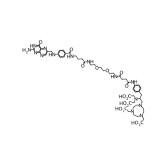 Nc1nc2ncc(CNc3ccc(C(=O)NCCCC(=O)NCCOCCOCCNC(=O)CCC(=O)Nc4ccc(CC(CN5CCN(CC(=O)O)CCN(CC(=O)O)CC5)N(CC(=O)O)CC(=O)O)cc4)cc3)nc2c(=O)[nH]1